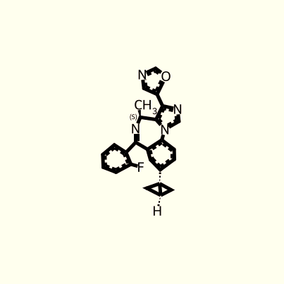 C[C@@H]1N=C(c2ccccc2F)c2cc([C@]34C[C@H]3C4)ccc2-n2cnc(-c3cnco3)c21